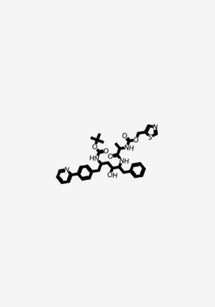 CC(NC(=O)OCc1cncs1)C(=O)NC(Cc1ccccc1)C(O)CC(Cc1ccc(-c2ccccn2)cc1)NC(=O)OC(C)(C)C